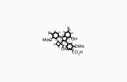 COCC1(c2c(-c3ccc(C(=O)O)c(OC)c3)c3c(O)cc(F)cc3n2-c2ccc(F)c(OC)c2)CCC1